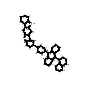 c1ccc2c(-c3c4ccccc4c(-c4ccc(-c5ccc6sc7cc8c(cc7c6c5)sc5ccccc58)cc4)c4ccccc34)cccc2c1